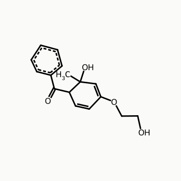 CC1(O)C=C(OCCO)C=CC1C(=O)c1ccccc1